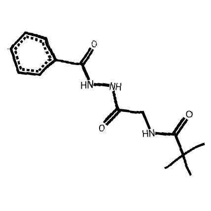 CC(C)(C)C(=O)NCC(=O)NNC(=O)c1cc[c]cc1